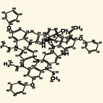 C=C/C=C\c1[nH]c2c(c1C)Cc1cc(Oc3ccccc3)cc3c1B2c1cc2c(cc1N3)N(SC)c1cc(Oc3ccccc3)cc3c1B2c1cc2c(cc1N3SC)N(SC)c1cc(Oc3ccccc3)cc3c1B2c1[nH]c2ccccc2c1C3